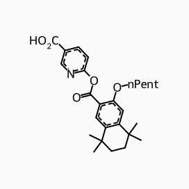 CCCCCOc1cc2c(cc1C(=O)Oc1ccc(C(=O)O)cn1)C(C)(C)CCC2(C)C